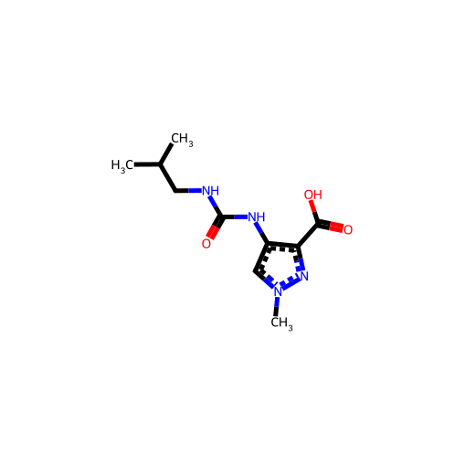 CC(C)CNC(=O)Nc1cn(C)nc1C(=O)O